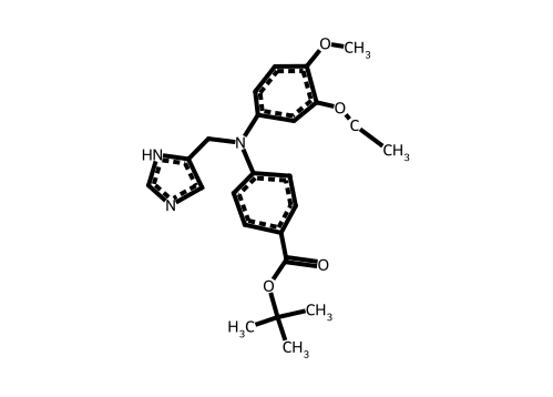 CCOc1cc(N(Cc2cnc[nH]2)c2ccc(C(=O)OC(C)(C)C)cc2)ccc1OC